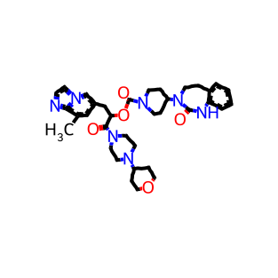 Cc1cc(CC(OC(=O)N2CCC(N3CCc4ccccc4NC3=O)CC2)C(=O)N2CCN(C3CCOCC3)CC2)cn2ccnc12